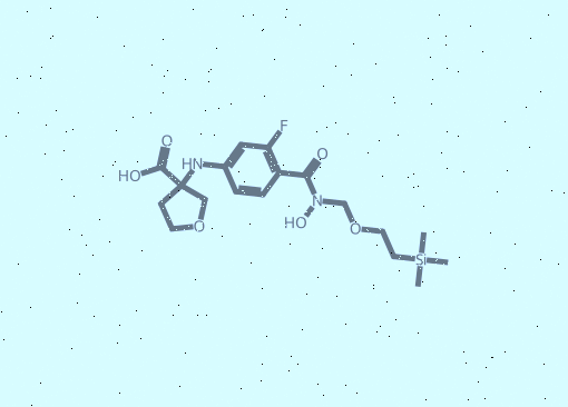 C[Si](C)(C)CCOCN(O)C(=O)c1ccc(NC2(C(=O)O)CCOC2)cc1F